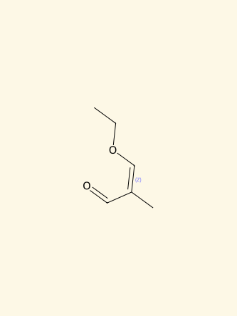 CCO/C=C(/C)C=O